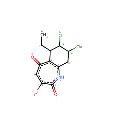 CCC1c2c([nH]c(=O)c(O)cc2=O)CC(Cl)C1Cl